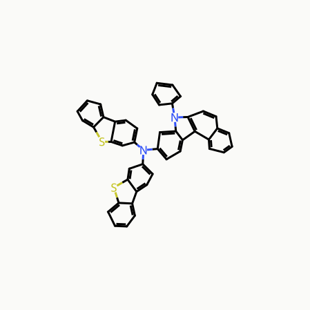 c1ccc(-n2c3cc(N(c4ccc5c(c4)sc4ccccc45)c4ccc5c(c4)sc4ccccc45)ccc3c3c4ccccc4ccc32)cc1